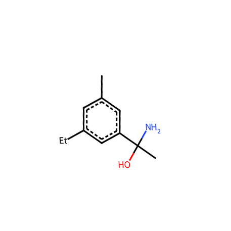 CCc1cc(C)cc(C(C)(N)O)c1